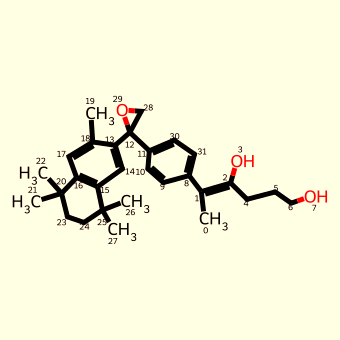 C/C(=C(/O)CCCO)c1ccc(C2(c3cc4c(cc3C)C(C)(C)CCC4(C)C)CO2)cc1